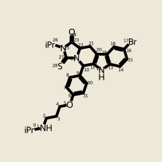 CC(C)NCCCOc1ccc(C2c3[nH]c4ccc(Br)cc4c3CC3C(=O)N(C(C)C)C(=S)N32)cc1